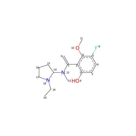 C=C(c1c(O)ccc(F)c1OC)N(C)C1CCCN1CC